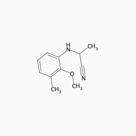 COc1c(C)cccc1NC(C)C#N